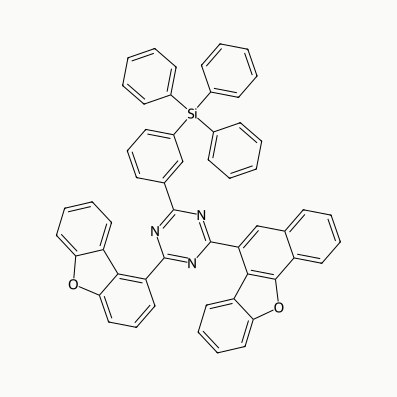 c1ccc([Si](c2ccccc2)(c2ccccc2)c2cccc(-c3nc(-c4cccc5oc6ccccc6c45)nc(-c4cc5ccccc5c5oc6ccccc6c45)n3)c2)cc1